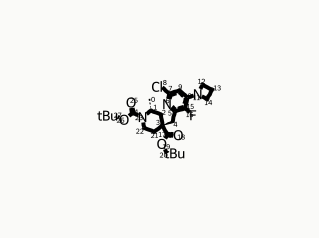 C[C@@H]1C[C@](Cc2nc(Cl)cc(N3CCC3)c2F)(C(=O)OC(C)(C)C)CCN1C(=O)OC(C)(C)C